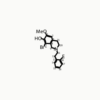 COc1cc2c(c(Br)c1O)CN(CCc1ccccc1F)CC2